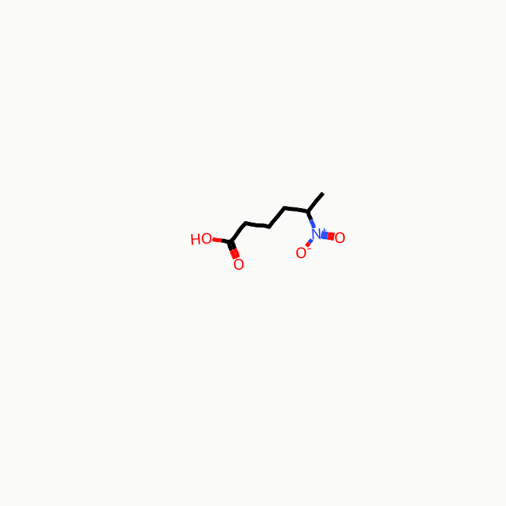 CC(CCCC(=O)O)[N+](=O)[O-]